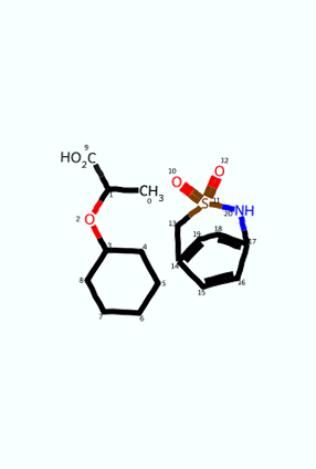 CC(OC1CCCCC1)C(=O)O.O=S1(=O)Cc2ccc(cc2)N1